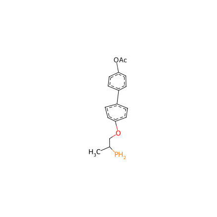 CC(=O)Oc1ccc(-c2ccc(OCC(C)P)cc2)cc1